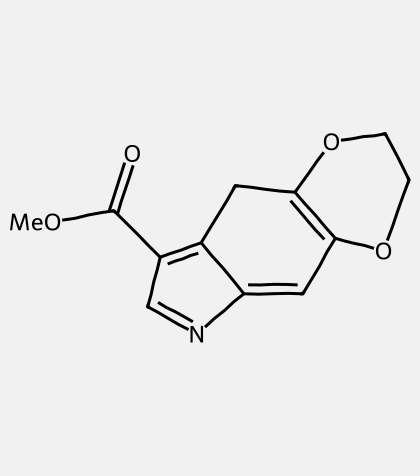 COC(=O)C1=C2CC3=C(C=C2N=C1)OCCO3